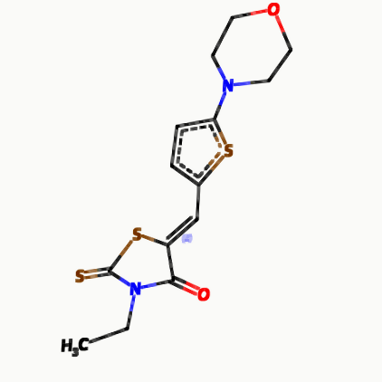 CCN1C(=O)/C(=C/c2ccc(N3CCOCC3)s2)SC1=S